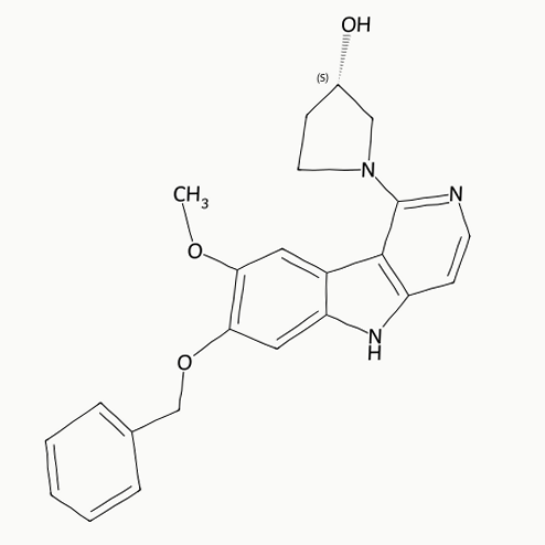 COc1cc2c(cc1OCc1ccccc1)[nH]c1ccnc(N3CC[C@H](O)C3)c12